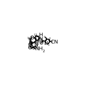 Cc1cc(C#N)cnc1C(=O)Nc1ccc2c(c1)[C@@]1(C)N=C(N)C(C)(C)S(=O)(=O)[C@@H]1C[C@H](C)O2